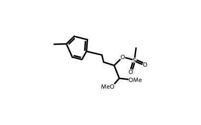 COC(OC)C(CCc1ccc(C)cc1)OS(C)(=O)=O